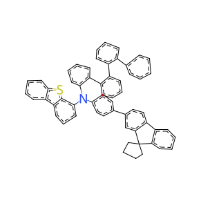 c1ccc(-c2ccccc2-c2ccccc2-c2ccccc2N(c2ccc(-c3ccc4c(c3)C3(CCCC3)c3ccccc3-4)cc2)c2cccc3c2sc2ccccc23)cc1